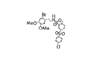 COc1cc(Br)c(CCNS(=O)(=O)c2cc(S(=O)(=O)c3ccc(Cl)cc3)ccc2C)cc1OC